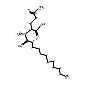 CCCCCCCCCCCC(=O)N(C)C(CCC(N)=O)C(=O)O